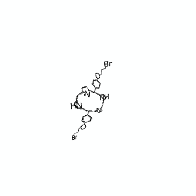 BrCCCOc1ccc(-c2c3nc(cc4ccc([nH]4)c(-c4ccc(OCCCBr)cc4)c4nc(cc5ccc2[nH]5)C=C4)C=C3)cc1